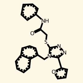 O=C(CSc1nnc(-c2ccco2)n1Cc1cccc2ccccc12)Nc1ccccc1